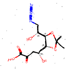 CC1(C)O[C@H]([C@H](O)CN=[N+]=[N-])[C@@H]([C@H](O)CC(=O)C(=O)O)O1